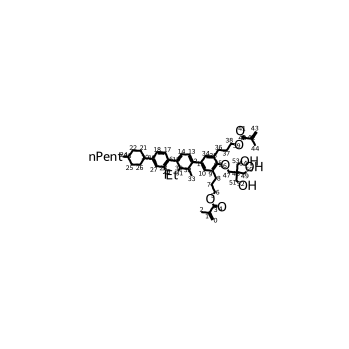 C=C(C)C(=O)OCCCc1cc(C2=CC=C(c3ccc(C4CCC(CCCCC)CC4)cc3F)C(CC)C2C)cc(CCCOC(=O)C(=C)C)c1OCC(CO)(CO)CO